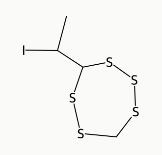 CC(I)C1SSCSSS1